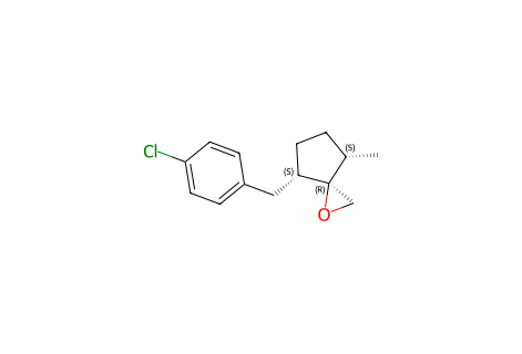 C[C@H]1CC[C@@H](Cc2ccc(Cl)cc2)[C@@]12CO2